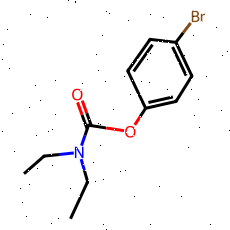 CCN(CC)C(=O)Oc1ccc(Br)cc1